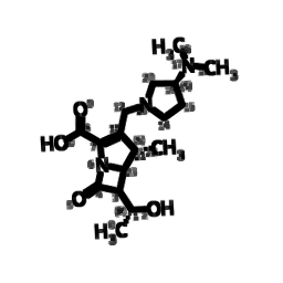 C[C@@H](O)C1C(=O)N2C(C(=O)O)=C(CN3CC[C@H](N(C)C)C3)[C@H](C)C12